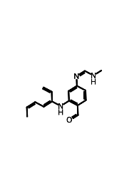 C=C/C(=C\C=C/C)Nc1cc(/N=C\NC)ccc1C=O